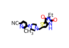 CCn1c(=O)[nH]c2cc(CN3CCN(c4ccc(C#N)nc4C)CC3)sc2c1=O